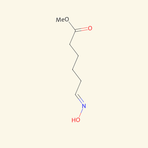 COC(=O)CCCCC=NO